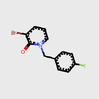 O=c1c(Br)cccn1Cc1ccc(F)cc1